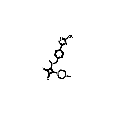 CN1CCN(c2c(N(C)Cc3ccc(-c4noc(C(F)(F)F)n4)cc3)c(=O)c2=O)CC1